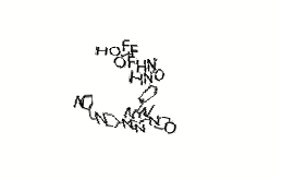 CNC(=O)Nc1ccc(-c2nc(N3CCOCC3)c3ncn(C4CCN(Cc5cccnc5)CC4)c3n2)cc1.O=C(O)C(F)(F)F